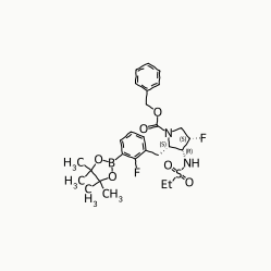 CCS(=O)(=O)N[C@H]1[C@@H](F)CN(C(=O)OCc2ccccc2)[C@H]1Cc1cccc(B2OC(C)(C)C(C)(C)O2)c1F